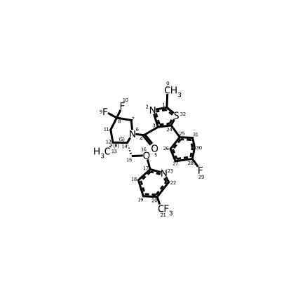 Cc1nc(C(=O)N2CC(F)(F)C[C@@H](C)[C@H]2COc2ccc(C(F)(F)F)cn2)c(-c2ccc(F)cc2)s1